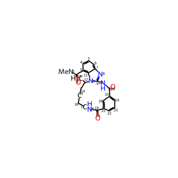 CNC(=O)c1cccc2nc3n(c12)C(C)CCCCNC(=O)c1cccc(c1)C(=O)N3